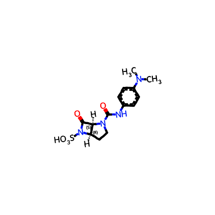 CN(C)c1ccc(NC(=O)N2CC[C@@H]3[C@H]2C(=O)N3S(=O)(=O)O)cc1